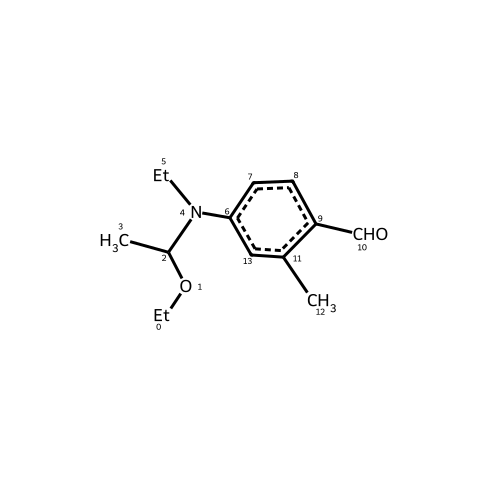 CCOC(C)N(CC)c1ccc(C=O)c(C)c1